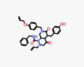 C=CCOc1ccc(CN2CC3C(C(=O)CN(CC=C)N3C(=O)NCc3ccccc3)C(Cc3ccc(O)cc3)C2=O)cc1